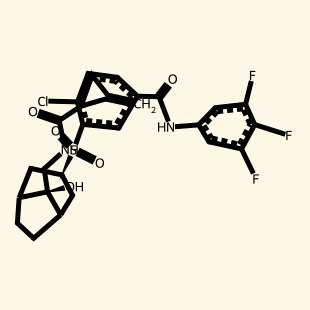 C=C1CC1C(=O)NC[C@]1(O)C2CCC1C[C@@H](S(=O)(=O)c1cc(C(=O)Nc3cc(F)c(F)c(F)c3)ccc1Cl)C2